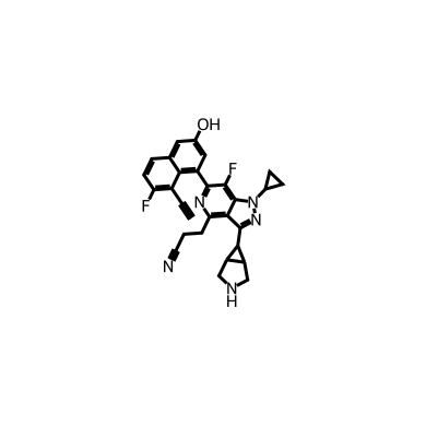 C#Cc1c(F)ccc2cc(O)cc(-c3nc(CCC#N)c4c(C5C6CNCC65)nn(C5CC5)c4c3F)c12